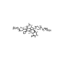 CONC(=O)Nc1ccc(-c2sc3c(c2CN(C)C)c(=O)n(-c2ccc(OC)nc2)c(=O)n3Cc2c(F)cccc2F)nc1